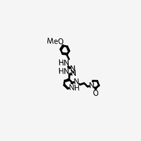 COc1ccc(CNc2nnc(-c3cccnc3NCCCN3CCCC3=O)[nH]2)cc1